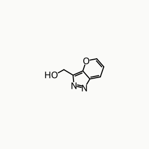 OCc1nnc2cccoc1-2